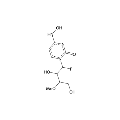 COC(CO)C(O)C(F)n1ccc(NO)nc1=O